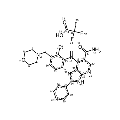 CCc1c(CN2CCOCC2)cccc1Nc1c(C(N)=O)cnc2[nH]c(-c3ccncc3)nc12.O=C(O)C(F)(F)F